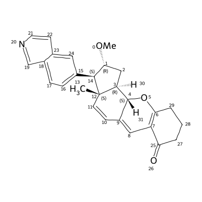 CO[C@@H]1C[C@H]2[C@@H]3OC4=C(C=C3C=C[C@]2(C)[C@H]1c1ccc2cnccc2c1)C(=O)CCC4